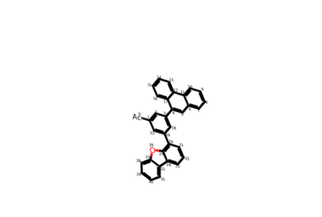 CC(=O)c1cc(-c2cc3ccccc3c3ccccc23)cc(-c2cccc3c2oc2ccccc23)c1